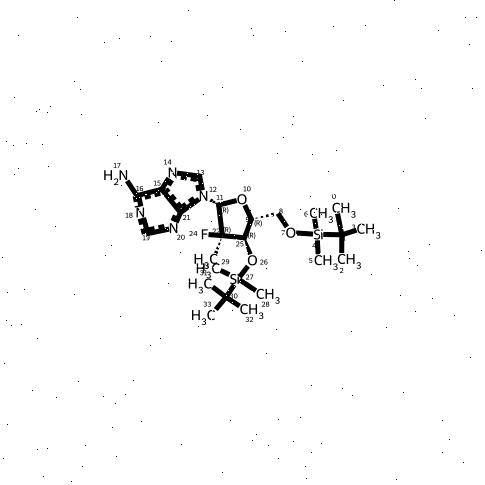 CC(C)(C)[Si](C)(C)OC[C@H]1O[C@@H](n2cnc3c(N)ncnc32)[C@](C)(F)[C@@H]1O[Si](C)(C)C(C)(C)C